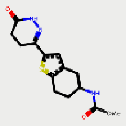 COC(=O)NC1CCc2sc(C3=NNC(=O)CC3)cc2C1